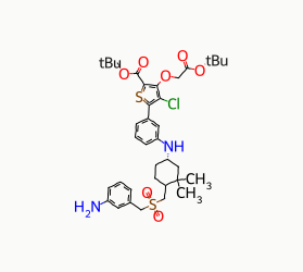 CC(C)(C)OC(=O)COc1c(C(=O)OC(C)(C)C)sc(-c2cccc(N[C@H]3CCC(CS(=O)(=O)Cc4cccc(N)c4)C(C)(C)C3)c2)c1Cl